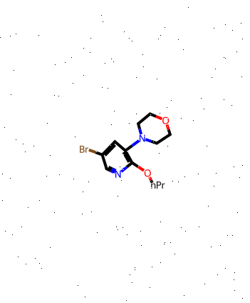 CCCOc1ncc(Br)cc1N1CCOCC1